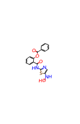 O=C(Oc1ccccc1C(=O)Nc1ncc(NO)s1)c1ccccc1